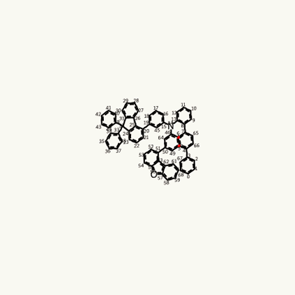 c1ccc(-c2ccc(-c3ccccc3N(c3cccc(-c4cccc5c4-c4ccccc4C5(c4ccccc4)c4ccccc4)c3)c3cccc(-c4cccc5oc6ccccc6c45)c3)cc2)cc1